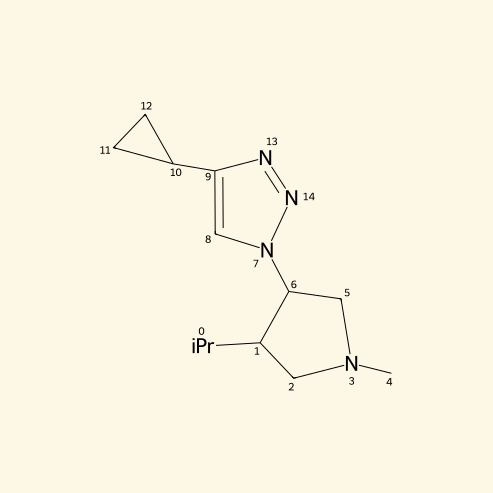 CC(C)C1CN(C)CC1n1cc(C2CC2)nn1